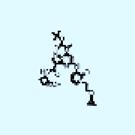 CN(C(=O)OC(C)(C)C)c1cc(Nc2cccn(CCOC3CC3)c2=O)nc2c(C(=O)N[C@@H]3CC[C@H]3O)cnn12